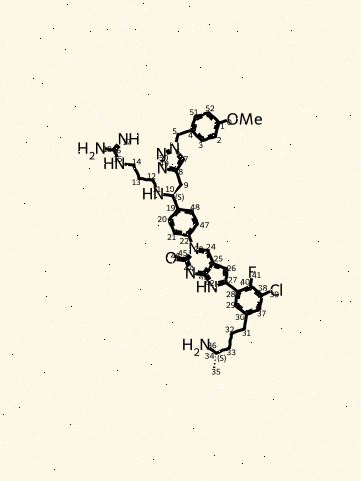 COc1ccc(Cn2cc(C[C@H](NCCCNC(=N)N)c3ccc(-n4cc5cc(-c6cc(CCC[C@H](C)N)cc(Cl)c6F)[nH]c5nc4=O)cc3)nn2)cc1